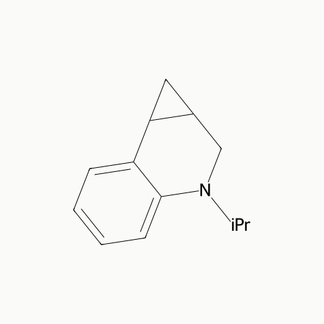 CC(C)N1CC2CC2c2ccccc21